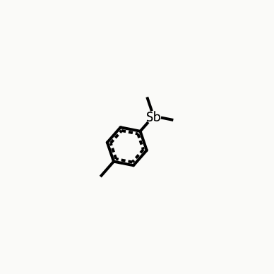 Cc1cc[c]([Sb]([CH3])[CH3])cc1